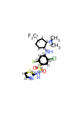 CN(C)[C@@H]1C[C@@H](C(F)(F)F)CC[C@H]1Nc1cc(F)c(S(=O)(=O)Nc2nccs2)cc1Cl